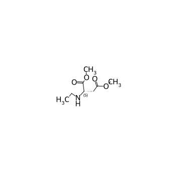 CCN[C@@H](CC(=O)OC)C(=O)OC